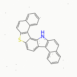 c1ccc2c(c1)ccc1[nH]c3c(ccc4sc5ccc6ccccc6c5c43)c12